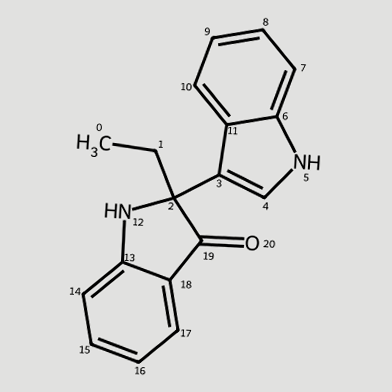 CCC1(c2c[nH]c3ccccc23)Nc2ccccc2C1=O